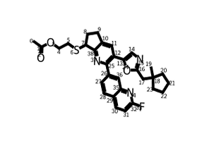 CC(=O)OCCSC1CCc2cc(-c3cnc(CC4(C)CCCC4)o3)c(-c3ccc4ccc(F)nc4c3)nc21